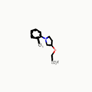 O=C(O)COC1CCN(c2ccccc2C(F)(F)F)C1